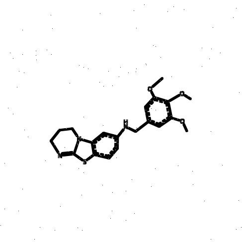 COc1cc(CNc2ccc3c(c2)N2CCCN=C2S3)cc(OC)c1OC